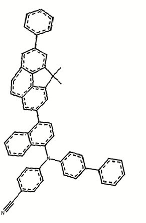 CC1(C)c2cc(-c3ccccc3)cc3ccc4cc(-c5ccc(N(c6ccc(C#N)cc6)c6ccc(-c7ccccc7)cc6)c6ccccc56)cc1c4c23